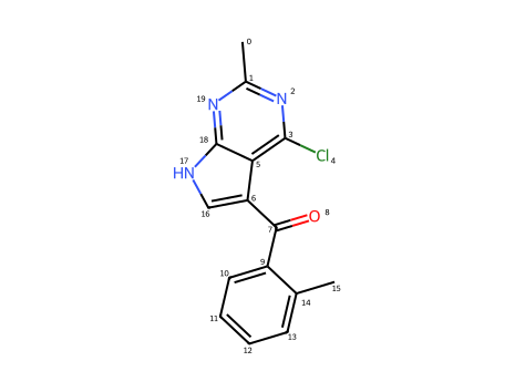 Cc1nc(Cl)c2c(C(=O)c3ccccc3C)c[nH]c2n1